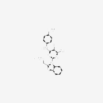 COCc1nc2ccccc2n1-c1nc(N)c(F)c(Nc2ccc(OC)cc2)n1